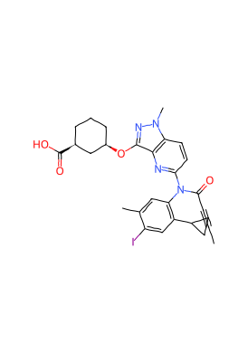 CC#CC(=O)N(c1ccc2c(n1)c(O[C@@H]1CCC[C@H](C(=O)O)C1)nn2C)c1cc(C)c(I)cc1C1CC1